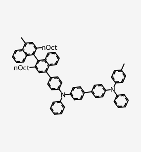 CCCCCCCCc1cc(C)c2ccccc2c1-c1c(CCCCCCCC)cc(-c2ccc(N(c3ccccc3)c3ccc(-c4ccc(N(c5ccccc5)c5ccc(C)cc5)cc4)cc3)cc2)c2ccccc12